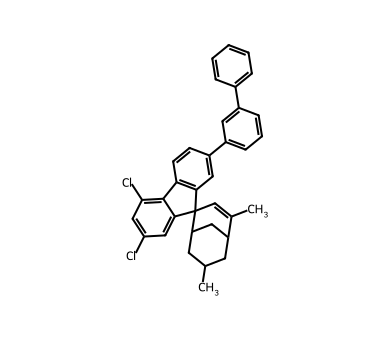 CC1=CC2(c3cc(-c4cccc(-c5ccccc5)c4)ccc3-c3c(Cl)cc(Cl)cc32)C2CC(C)CC1C2